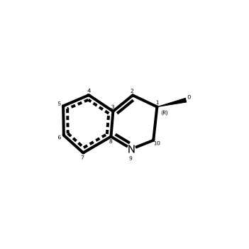 C[C@@H]1C=c2ccccc2=NC1